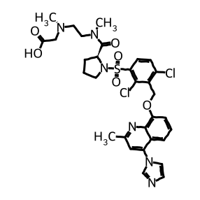 Cc1cc(-n2ccnc2)c2cccc(OCc3c(Cl)ccc(S(=O)(=O)N4CCC[C@H]4C(=O)N(C)CCN(C)CC(=O)O)c3Cl)c2n1